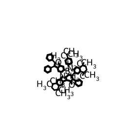 CC(C)(C)c1ccc(N2B3c4cc5oc(-c6ccccc6)c(-c6ccccc6)c5cc4-n4c5cc6c(cc5c5c7oc8ccccc8c7c(c3c54)-c3cc4c(cc32)C(C)(C)CCC4(C)C)C(C)(C)CCC6(C)C)cc1